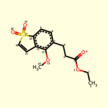 CCOC(=O)CCc1ccc2c(c1OC)C=CS2(=O)=O